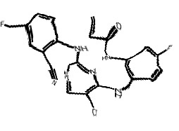 C=CC(=O)Nc1cc(F)ccc1Nc1nc(Nc2ccc(F)cc2C#N)ncc1Cl